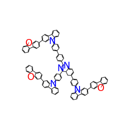 C1=C(c2ccc(-n3c4ccccc4c4ccc(-c5ccc6c(c5)oc5ccccc56)cc43)cc2)CC2C(=C1)N=C(c1ccc(-c3ccc(-n4c5ccccc5c5ccc(-c6ccc7c(c6)oc6ccccc67)cc54)cc3)cc1)N=C2c1ccc(-n2c3ccccc3c3ccc(-c4ccc5c(c4)oc4ccccc45)cc32)cc1